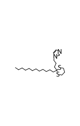 CCCCCCCCCCCCC1(CCCn2ccnc2)SCCCS1